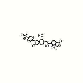 CCS(=O)(=O)c1cnc(N2CC3(CCN(C[C@H](O)c4ccc5c(c4C)COC5=O)CC3)CC2=O)cn1.Cl